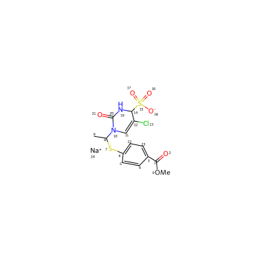 COC(=O)c1ccc(SC(C)N2C=C(Cl)C(S(=O)(=O)[O-])NC2=O)cc1.[Na+]